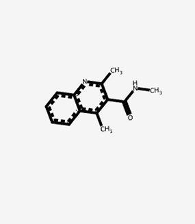 CNC(=O)c1c(C)nc2ccccc2c1C